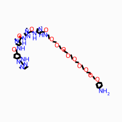 Cn1cc(NC(=O)c2nc(NC(=O)c3cc(NC(=O)c4ccc5nc(-c6nccn6C)[nH]c5c4)cn3C)cn2C)cc1C(=O)NCCOCCOCCOCCOCCOCCOCCOCCOCCOc1ccc(N)cc1